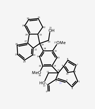 C=C/C1=C\C=CC2C=CC(=C2)C1(CO)c1cc(OC)c(C2(CO)c3ccccc3C3=CC=CCC32)cc1OC